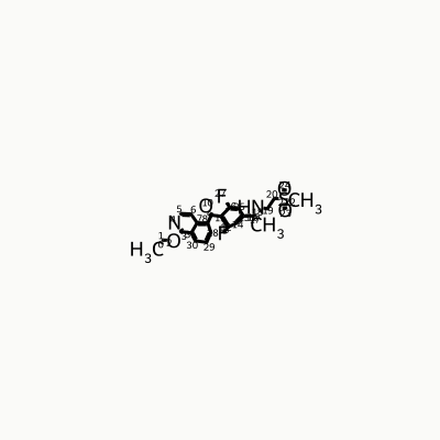 CCOc1nccc2c(C(=O)c3c(F)cc(C(C)NCCS(C)(=O)=O)cc3F)cccc12